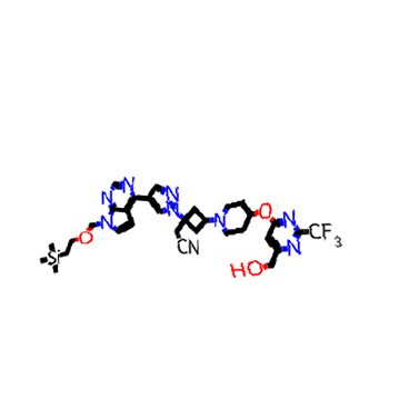 C[Si](C)(C)CCOCn1ccc2c(-c3cnn(C4(CC#N)CC(N5CCC(Oc6cc(CO)nc(C(F)(F)F)n6)CC5)C4)c3)ncnc21